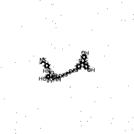 Cc1ncsc1-c1ccc(CNC(=O)[C@@H]2C[C@@H](O)CN2C(=O)C(NC(=O)COCCOCCOCCOc2ccc(C(=O)c3c(-c4ccc(O)cc4)sc4cc(O)ccc34)cc2)C(C)C)cc1